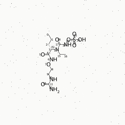 CCC[C@@H](C(=O)NOCCNC(N)=O)N(CC)C(=O)NOS(=O)(=O)O